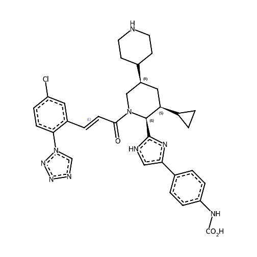 O=C(O)Nc1ccc(-c2c[nH]c([C@@H]3[C@H](C4CC4)C[C@H](C4CCNCC4)CN3C(=O)/C=C/c3cc(Cl)ccc3-n3cnnn3)n2)cc1